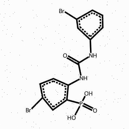 O=C(Nc1cccc(Br)c1)Nc1ccc(Br)cc1P(=O)(O)O